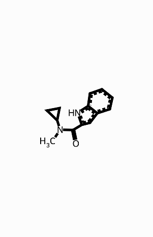 CN(C(=O)c1cc2ccccc2[nH]1)C1CC1